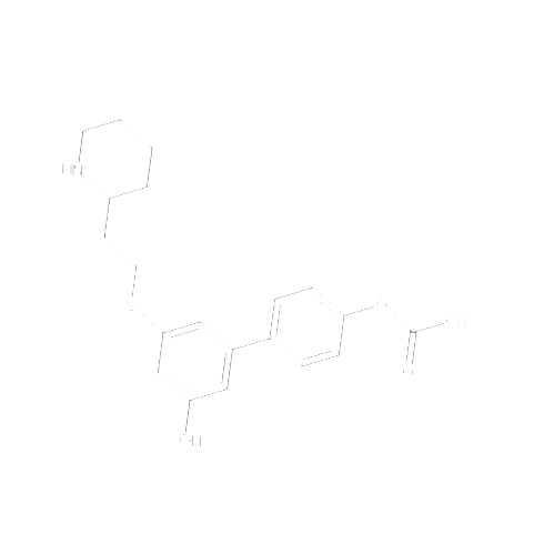 CC(=O)Oc1ccc(-c2[c]c(OCCC3CCCCN3)cc(O)c2)cc1